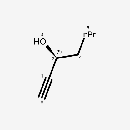 C#C[C@@H](O)CCCC